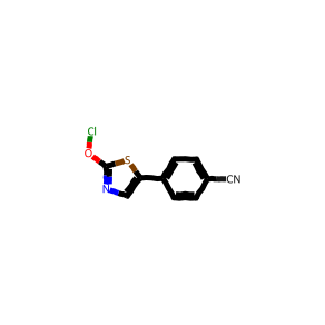 N#Cc1ccc(-c2cnc(OCl)s2)cc1